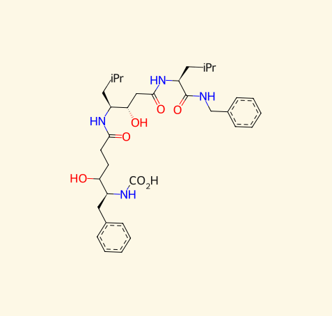 CC(C)C[C@H](NC(=O)C[C@H](O)[C@H](CC(C)C)NC(=O)CCC(O)[C@H](Cc1ccccc1)NC(=O)O)C(=O)NCc1ccccc1